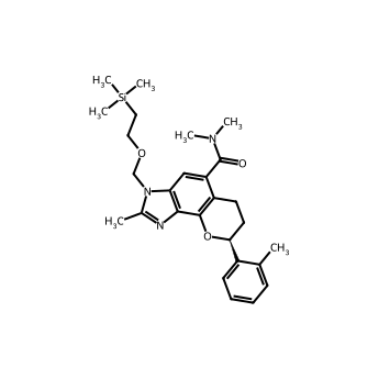 Cc1ccccc1[C@@H]1CCc2c(C(=O)N(C)C)cc3c(nc(C)n3COCC[Si](C)(C)C)c2O1